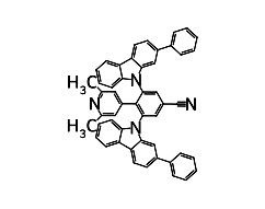 Cc1cc(-c2c(-n3c4ccccc4c4ccc(-c5ccccc5)cc43)cc(C#N)cc2-n2c3ccccc3c3ccc(-c4ccccc4)cc32)cc(C)n1